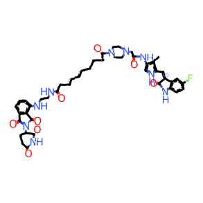 Cc1c(NC(=O)CN2CCN(C(=O)CCCCCCCCC(=O)NCCNc3cccc4c3C(=O)N(C3CCC(=O)NC3=O)C4=O)CC2)c[nH]c1/C=C1\C(=O)Nc2ccc(F)cc21